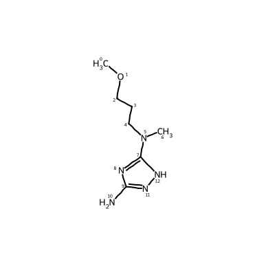 COCCCN(C)c1nc(N)n[nH]1